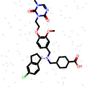 COc1cc(CN(CC2CCC(C(=O)O)CC2)[C@H]2CCc3cc(Cl)ccc32)ccc1OCCn1c(=O)ncn(C)c1=O